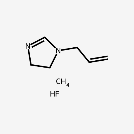 C.C=CCN1C=NCC1.F